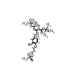 CC(C)(C)OC(=O)N=C(NCc1ccc(OCCCOS(C)(=O)=O)c(Br)c1)NC(=O)OC(C)(C)C